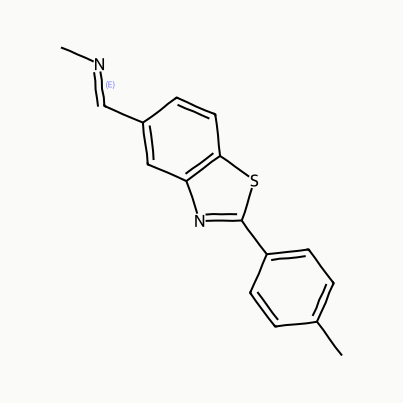 C/N=C/c1ccc2sc(-c3ccc(C)cc3)nc2c1